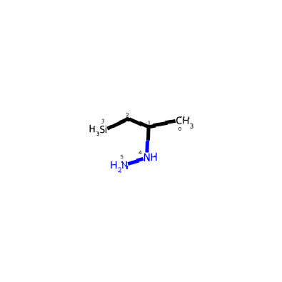 CC(C[SiH3])NN